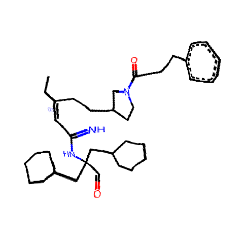 CC/C(=C/C(=N)NC(C=O)(CC1CCCCC1)CC1CCCCC1)CCC1CCN(C(=O)CCc2ccccc2)C1